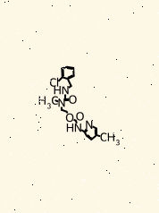 Cc1ccc(NC(=O)OCCN(C)C(=O)NCc2ccccc2Cl)nc1